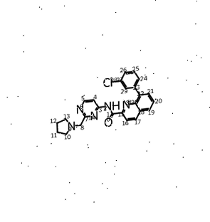 O=C(Nc1ccnc(CN2CCCC2)n1)c1ccc2cccc(-c3cccc(Cl)c3)c2n1